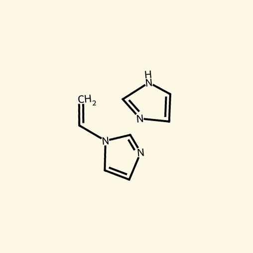 C=Cn1ccnc1.c1c[nH]cn1